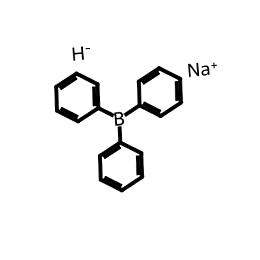 [H-].[Na+].c1ccc(B(c2ccccc2)c2ccccc2)cc1